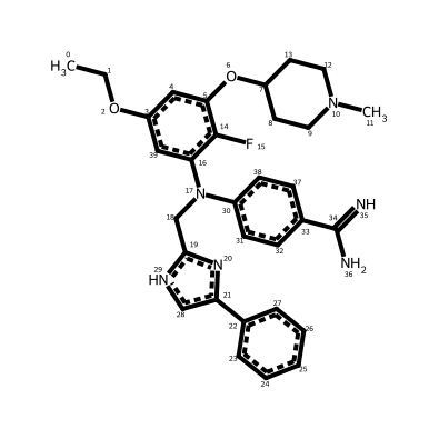 CCOc1cc(OC2CCN(C)CC2)c(F)c(N(Cc2nc(-c3ccccc3)c[nH]2)c2ccc(C(=N)N)cc2)c1